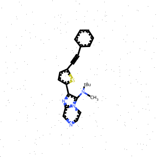 CN(c1c(-c2ccc(C#Cc3ccccc3)s2)nc2cnccn12)C(C)(C)C